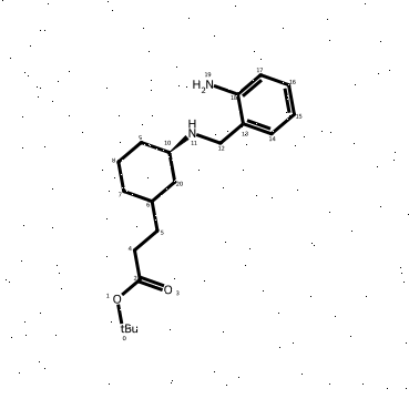 CC(C)(C)OC(=O)CCC1CCC[C@@H](NCc2ccccc2N)C1